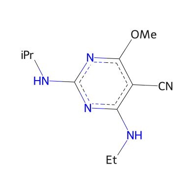 CCNc1nc(NC(C)C)nc(OC)c1C#N